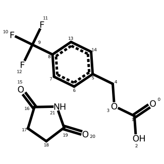 O=C(O)OCc1ccc(C(F)(F)F)cc1.O=C1CCC(=O)N1